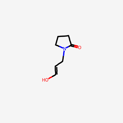 O=C1CCCN1CC=CO